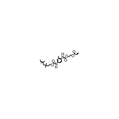 C=CC(=O)OCCOC(=O)Nc1ccc(NC(=O)OCCC(C)(C)C/C(C)=C/C)cc1C